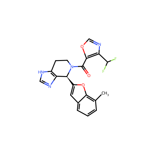 Cc1cccc2cc([C@H]3c4nc[nH]c4CCN3C(=O)c3ocnc3C(F)F)oc12